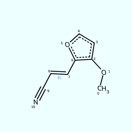 COc1ccoc1/C=C/C#N